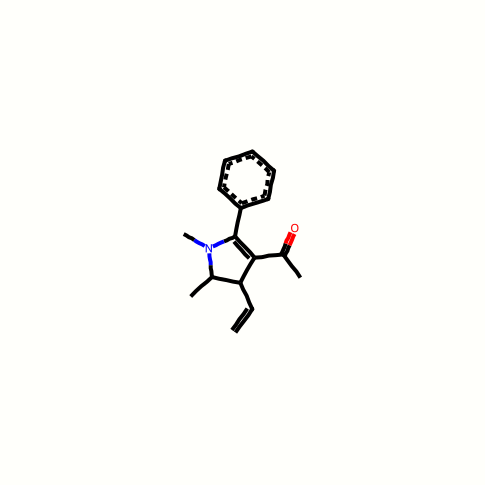 C=CC1C(C(C)=O)=C(c2ccccc2)N(C)C1C